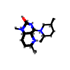 C[C@H]1CC[C@@H](C)N(c2nc(=O)n(C)c3ccc(C#N)nc23)C1